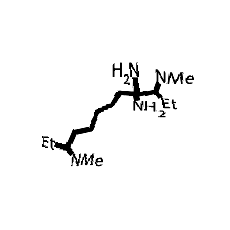 CCC(CCCCCC(N)(N)C(CC)NC)NC